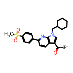 CC(C)C(=O)c1cn(CC2CCCCC2)c2nc(-c3ccc(S(C)(=O)=O)cc3)ccc12